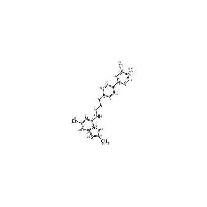 CCc1nc(NCCCc2ccc(-c3ccc(Cl)c(Cl)c3)cc2)c2cc(C)sc2n1